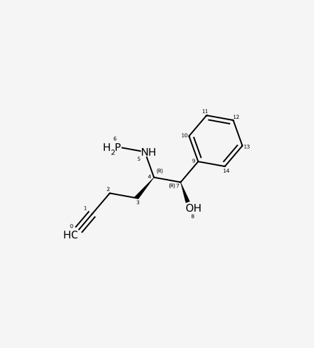 C#CCC[C@@H](NP)[C@H](O)c1ccccc1